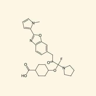 Cn1cccc1-c1nc2ccc(CC(=O)C(F)(OC3CCC(C(=O)O)CC3)N3CCCC3)cc2o1